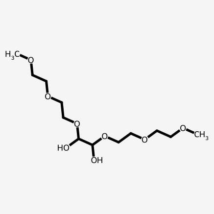 COCCOCCOC(O)C(O)OCCOCCOC